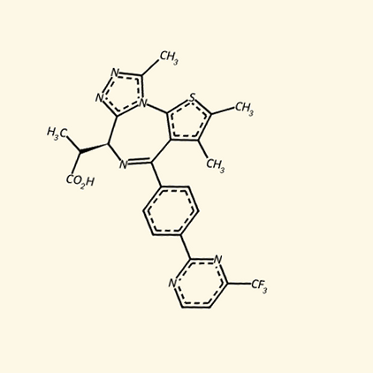 Cc1sc2c(c1C)C(c1ccc(-c3nccc(C(F)(F)F)n3)cc1)=N[C@@H](C(C)C(=O)O)c1nnc(C)n1-2